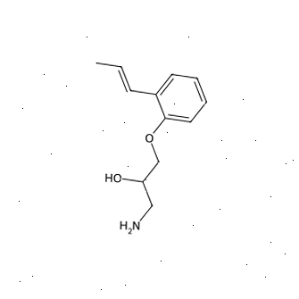 CC=Cc1ccccc1OCC(O)CN